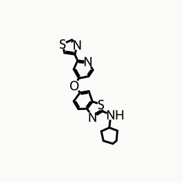 c1cc(Oc2ccc3nc(NC4CCCCC4)sc3c2)cc(-c2cscn2)n1